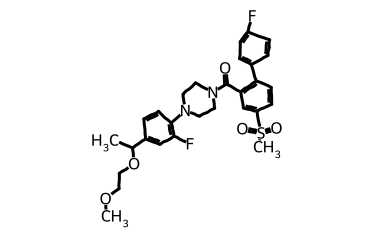 COCCOC(C)c1ccc(N2CCN(C(=O)c3cc(S(C)(=O)=O)ccc3-c3ccc(F)cc3)CC2)c(F)c1